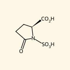 O=C(O)[C@@H]1CCC(=O)N1S(=O)(=O)O